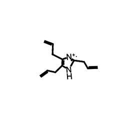 C=CCC1=[N+]C(CC=C)=C(CC=C)N1